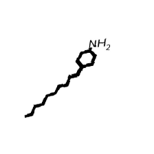 CCCCCCCCCCC1CCC(N)CC1